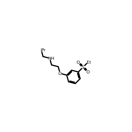 CCS(=O)(=O)c1cccc(OCCNCC(C)C)c1